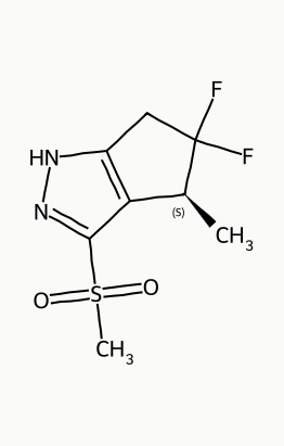 C[C@H]1c2c(S(C)(=O)=O)n[nH]c2CC1(F)F